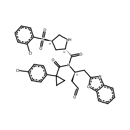 O=CC[C@H](Cc1nc2ccccc2o1)N(C(=O)[C@@H]1C[C@@H](S(=O)(=O)c2ccccc2Cl)CN1)C(=O)C1(c2ccc(Cl)cc2)CC1